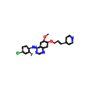 COc1cc2c(Nc3ccc(Cl)cc3F)ncnc2cc1OCC=Cc1ccncc1